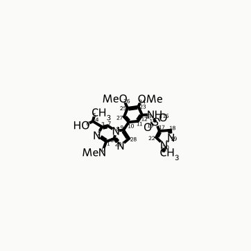 CNc1nc(C(C)O)cn2c(-c3cc(NS(=O)(=O)c4cnn(C)c4)c(OC)c(OC)c3)cnc12